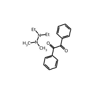 CCN(CC)N(C)C.O=C(C(=O)c1ccccc1)c1ccccc1